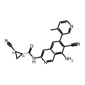 Cc1ccncc1-c1cc2cc(NC(=O)[C@@H]3C[C@H]3C#N)ncc2c(N)c1C#N